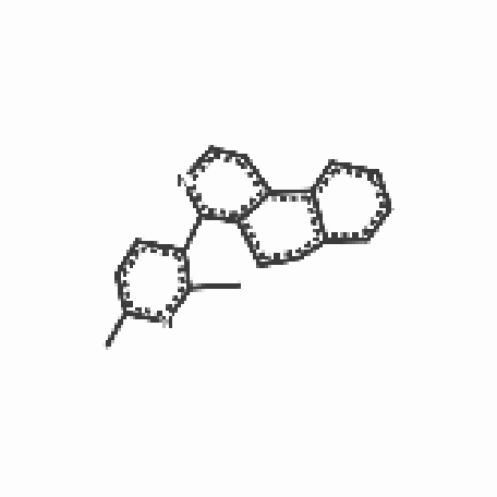 Cc1ccc(-c2nccc3c2ccc2ccccc23)c(C)n1